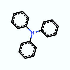 c1ccc([N+](c2ccccc2)c2ccccc2)cc1